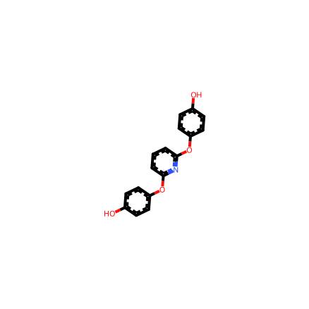 Oc1ccc(Oc2cccc(Oc3ccc(O)cc3)n2)cc1